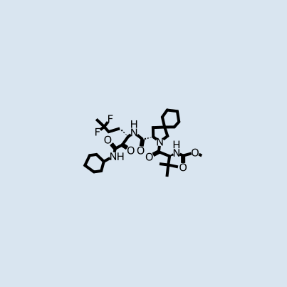 COC(=O)N[C@H](C(=O)N1CC2(CCCCC2)C[C@H]1C(=O)N[C@@H](CCC(C)(F)F)C(=O)C(=O)NC1CCCCC1)C(C)(C)C